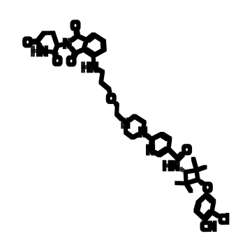 CC1(C)[C@H](NC(=O)c2ccc(N3CCN(CCOCCCNc4cccc5c4C(=O)N(C4CCC(=O)NC4=O)C5=O)CC3)nc2)C(C)(C)[C@H]1Oc1ccc(C#N)c(Cl)c1